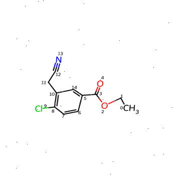 CCOC(=O)c1ccc(Cl)c(CC#N)c1